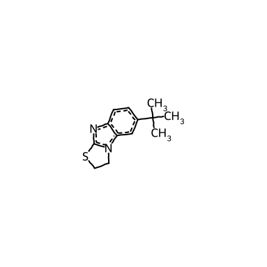 CC(C)(C)c1ccc2nc3n(c2c1)CCS3